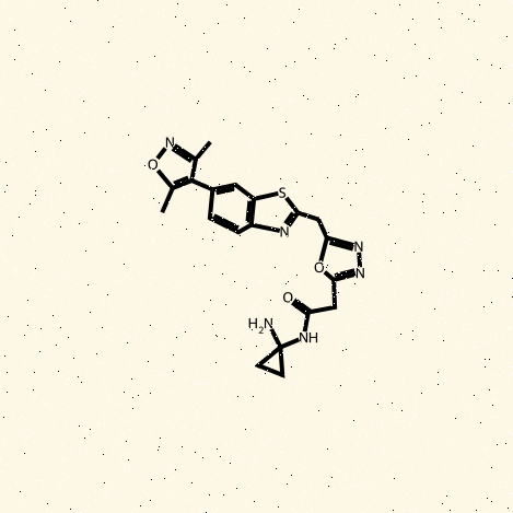 Cc1noc(C)c1-c1ccc2nc(Cc3nnc(CC(=O)NC4(N)CC4)o3)sc2c1